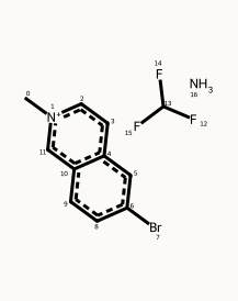 C[n+]1ccc2cc(Br)ccc2c1.FC(F)F.N